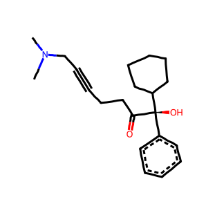 CN(C)CC#CCCC(=O)[C@@](O)(c1ccccc1)C1CCCCC1